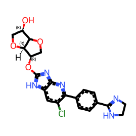 O[C@@H]1CO[C@H]2C1OC[C@H]2Oc1nc2nc(-c3ccc(C4=NCCN4)cc3)c(Cl)cc2[nH]1